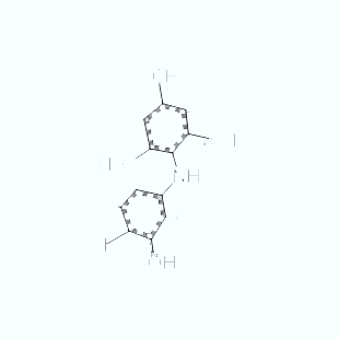 Cc1cc(C)c(Nc2ccc(I)c(O)c2)c(C)c1